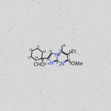 CCc1c(OC)nc2nc(C3(C=O)CCCCC3)cn2c1C